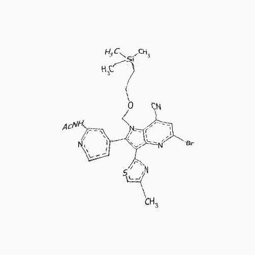 CC(=O)Nc1cc(-c2c(-c3nc(C)cs3)c3nc(Br)cc(C#N)c3n2COCC[Si](C)(C)C)ccn1